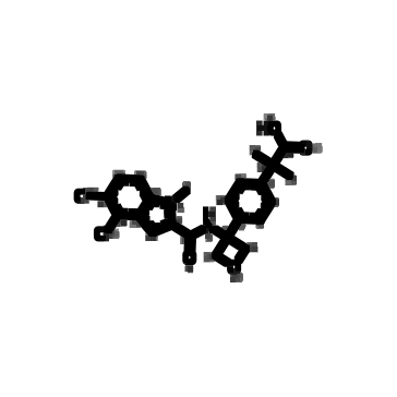 Cn1c(C(=O)NC2(c3ccc(C(C)(C)C(=O)O)cc3)COC2)cc2c(Cl)c(Cl)ccc21